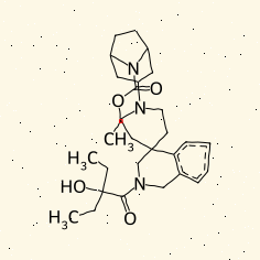 CCOC(=O)N1C2CCC1CC(N1CCC3(CC1)CN(C(=O)C(O)(CC)CC)Cc1ccccc13)C2